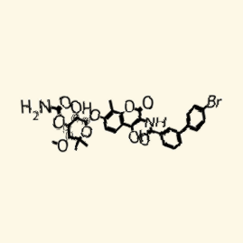 CO[C@@H]1[C@@H](OC(N)=O)[C@@H](O)[C@H](Oc2ccc3c(O)c(NC(=O)c4cccc(-c5ccc(Br)cc5)c4)c(=O)oc3c2C)OC1(C)C